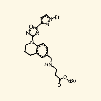 CCn1ccc(-c2nc(N3CCCc4cc(CNCCC(=O)OC(C)(C)C)ccc43)no2)n1